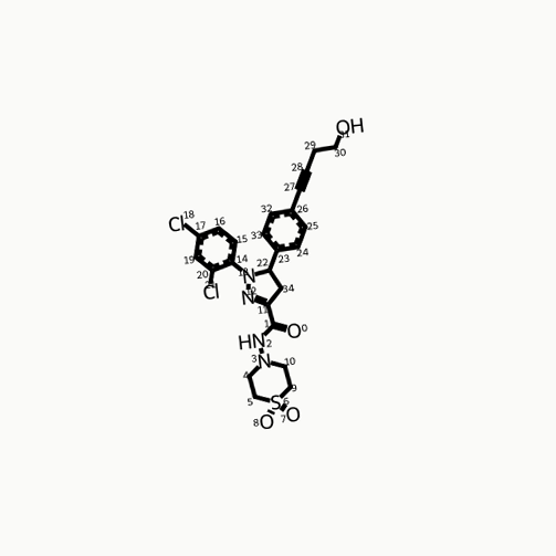 O=C(NN1CCS(=O)(=O)CC1)C1=NN(c2ccc(Cl)cc2Cl)C(c2ccc(C#CCCO)cc2)C1